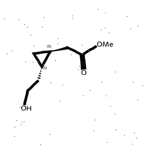 COC(=O)C[C@@H]1C[C@H]1CCO